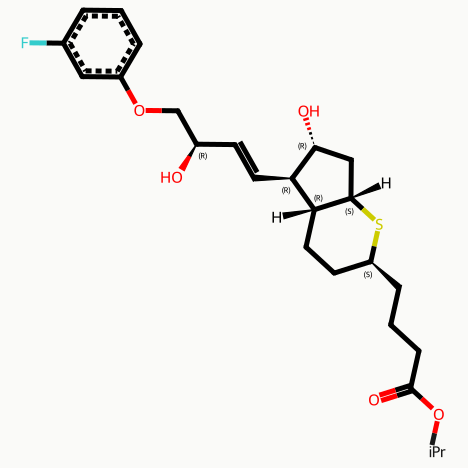 CC(C)OC(=O)CCC[C@H]1CC[C@@H]2[C@@H](C=C[C@@H](O)COc3cccc(F)c3)[C@H](O)C[C@@H]2S1